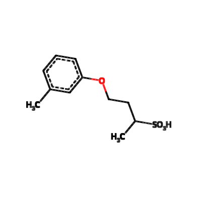 Cc1cccc(OCCC(C)S(=O)(=O)O)c1